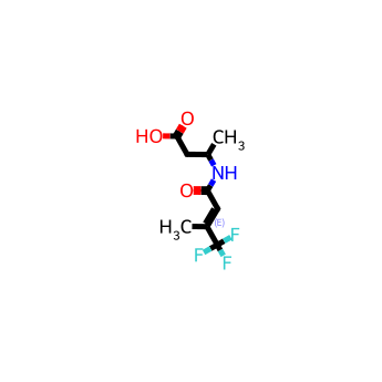 C/C(=C\C(=O)NC(C)CC(=O)O)C(F)(F)F